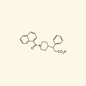 O=C(O)CC(c1ccccc1)C1CCN(C(=O)c2cccc3ccccc23)CC1